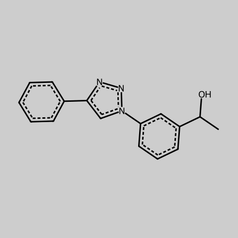 CC(O)c1cccc(-n2cc(-c3ccccc3)nn2)c1